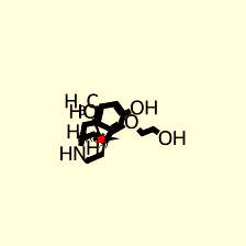 Cc1cc(O)cc2c1C[C@H]1NCC[C@@]23C[C@H](OCCO)C[C@@H](O)[C@H]13